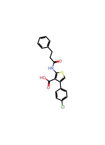 O=C(CCc1ccccc1)Nc1scc(-c2ccc(Cl)cc2)c1C(=O)O